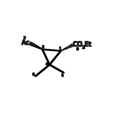 CCOC(=O)[C@H]1[C@H](C(C)=O)C1(C)C